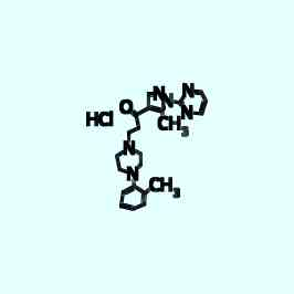 Cc1ccccc1N1CCN(CCC(=O)c2cnn(-c3ncccn3)c2C)CC1.Cl